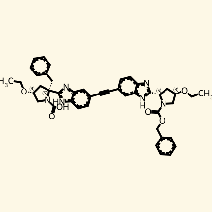 CCO[C@@H]1C[C@@H](c2nc3ccc(C#Cc4ccc5[nH]c([C@]6(Cc7ccccc7)C[C@@H](OCC)CN6C(=O)O)nc5c4)cc3[nH]2)N(C(=O)OCc2ccccc2)C1